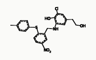 Cc1ccc(Sc2ccc([N+](=O)[O-])cc2CNc2cc(CCO)cc(Cl)c2O)cc1